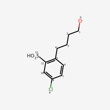 [O]CCCCc1ccc(Cl)cc1S(=O)(=O)O